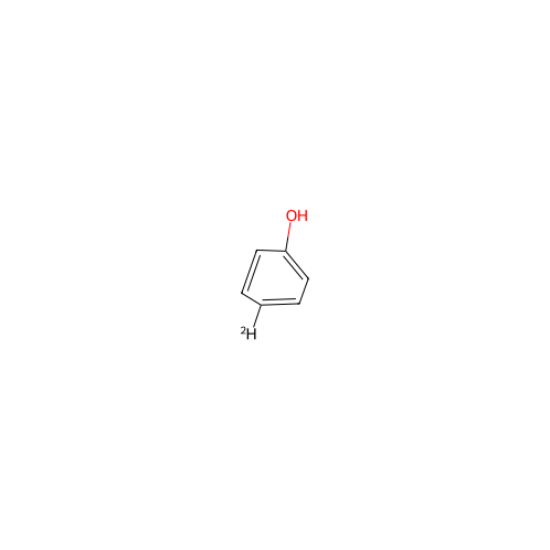 [2H]c1ccc(O)cc1